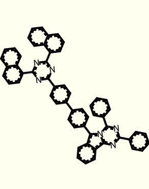 c1ccc(-c2nc(-c3ccccc3)n3c(-c4ccc(-c5ccc(-c6nc(-c7cccc8ccccc78)nc(-c7cccc8ccccc78)n6)cc5)cc4)c4ccccc4c3n2)cc1